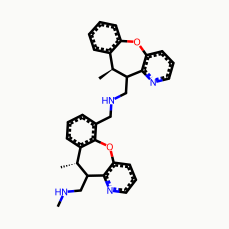 CNCC1c2ncccc2Oc2c(CNCC3c4ncccc4Oc4ccccc4[C@@H]3C)cccc2[C@H]1C